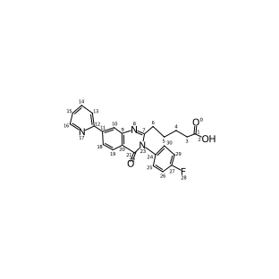 O=C(O)CCCCc1nc2cc(-c3ccccn3)ccc2c(=O)n1-c1ccc(F)cc1